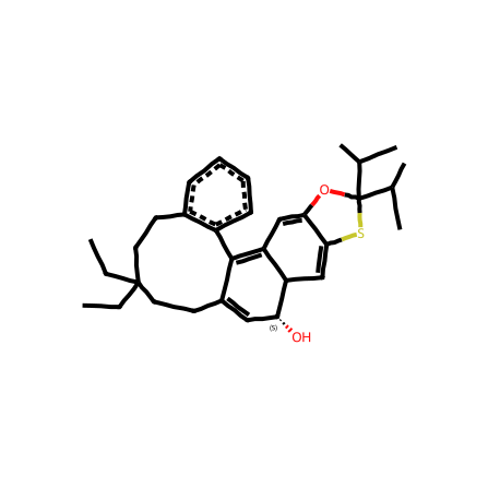 CCC1(CC)CCC2=C[C@@H](O)C3C=C4SC(C(C)C)(C(C)C)OC4=CC3=C2c2ccccc2CC1